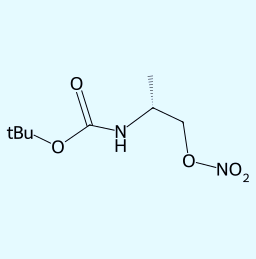 C[C@H](CO[N+](=O)[O-])NC(=O)OC(C)(C)C